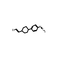 CCC=CC1CCC(c2ccc(N=C=S)cc2)CC1